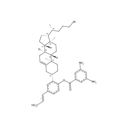 CC(C)CCC[C@@H](C)[C@H]1CC[C@H]2[C@@H]3CC=C4C[C@@H](c5cc(/C=C/C(=O)O)ccc5OC(=O)c5cc(N)cc(N)c5)CC[C@]4(C)[C@H]3CC[C@]12C